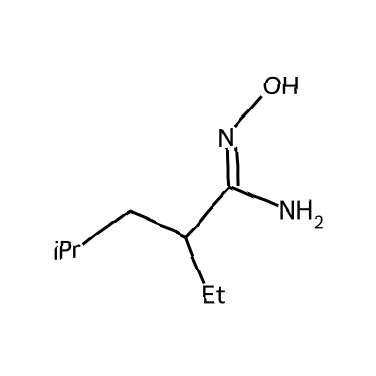 CCC(CC(C)C)/C(N)=N/O